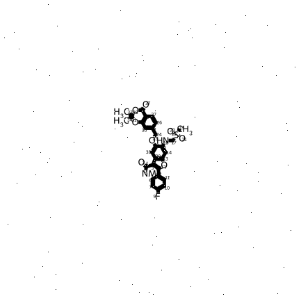 CNC(=O)c1c(-c2ccc(F)cc2)oc2cc(NCS(C)(=O)=O)c(OCc3ccc4c(c3)OC(C)(C)OC4=O)cc12